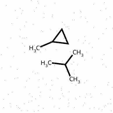 C[C](C)C.C[C]1CC1